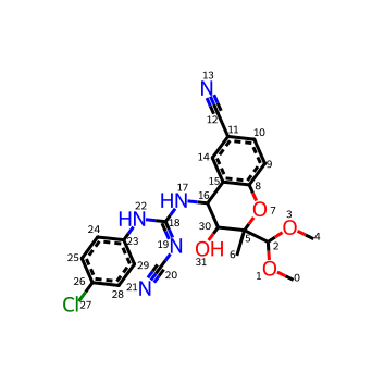 COC(OC)C1(C)Oc2ccc(C#N)cc2C(NC(=NC#N)Nc2ccc(Cl)cc2)C1O